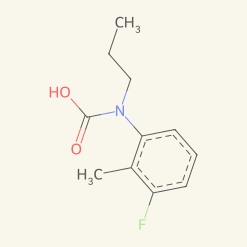 CCCN(C(=O)O)c1cccc(F)c1C